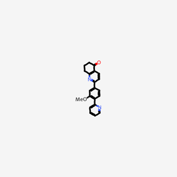 COc1cc(-c2ccc3c(n2)CCCC3=O)ccc1-c1ccccn1